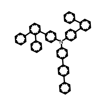 c1ccc(-c2ccc(-c3ccc(N(c4ccc(-c5ccccc5-c5ccccc5)cc4)c4ccc(-c5cccc(-c6ccccc6)c5-c5ccccc5)cc4)cc3)cc2)cc1